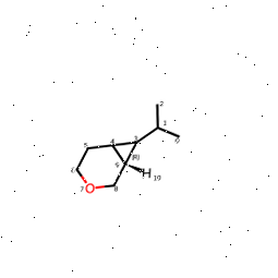 CC(C)C1C2CCOC[C@H]21